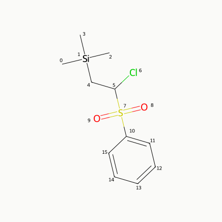 C[Si](C)(C)CC(Cl)S(=O)(=O)c1ccccc1